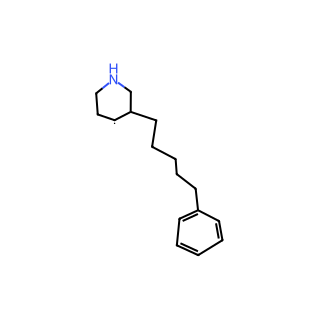 [CH]1CCNCC1CCCCCc1ccccc1